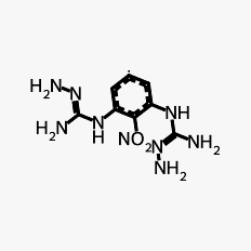 NN=C(N)Nc1c[c]cc(NC(N)=NN)c1[N+](=O)[O-]